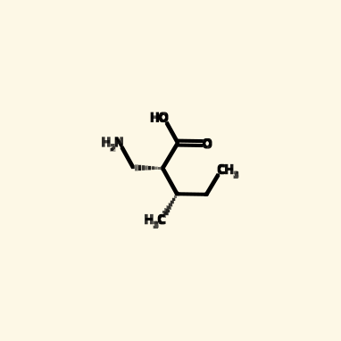 CC[C@H](C)[C@H](CN)C(=O)O